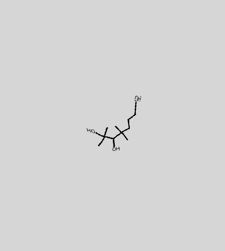 CC(C)(O)C(O)C(C)(C)CCCO